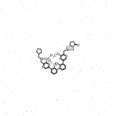 COc1nc(-c2cccc(-c3cccc(-c4cnc(CNC[C@@H]5CCC(=O)N5)c(OC)n4)c3Cl)c2Cl)cnc1CNCC1CCCC1